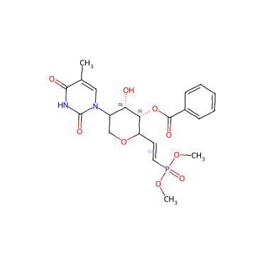 COP(=O)(/C=C/C1OCC(n2cc(C)c(=O)[nH]c2=O)[C@H](O)[C@@H]1OC(=O)c1ccccc1)OC